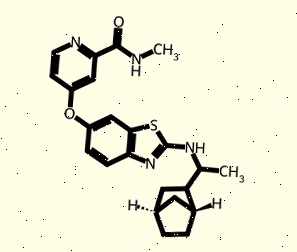 CNC(=O)c1cc(Oc2ccc3nc(NC(C)C4C[C@@H]5CC[C@@H]4C5)sc3c2)ccn1